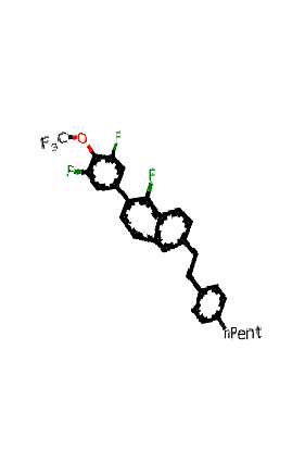 CCCCCc1ccc(CCc2ccc3c(F)c(-c4cc(F)c(OC(F)(F)F)c(F)c4)ccc3c2)cc1